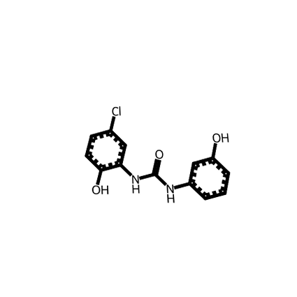 O=C(Nc1cccc(O)c1)Nc1cc(Cl)ccc1O